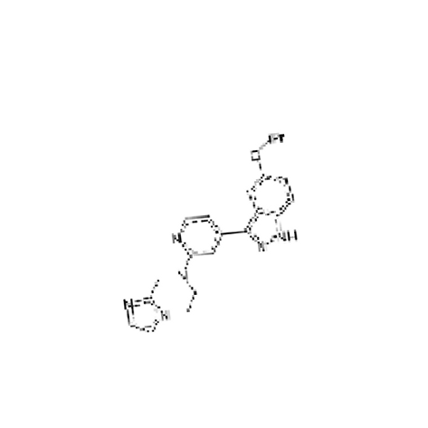 CC(C)Oc1ccc2[nH]nc(-c3ccnc(N4CCn5ccnc5C4)c3)c2c1